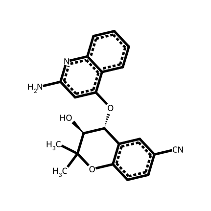 CC1(C)Oc2ccc(C#N)cc2[C@@H](Oc2cc(N)nc3ccccc23)[C@@H]1O